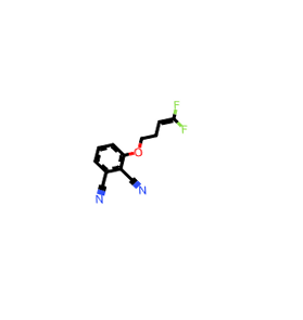 N#Cc1cccc(OCCC=C(F)F)c1C#N